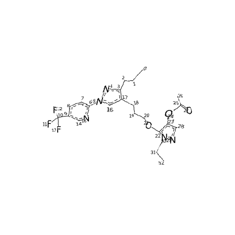 CCCc1nn(-c2ccc(C(F)(F)F)cn2)cc1CCCOc1c(OC(C)=O)cnn1CC